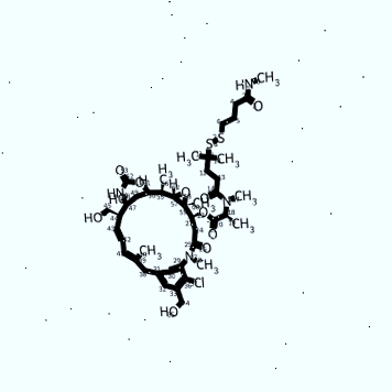 CNC(=O)CCCSSC(C)(C)CCC(=O)N(C)[C@@H](C)C(=O)O[C@H]1CC(=O)N(C)c2cc(cc(CO)c2Cl)C/C(C)=C/C=C/[C@@H](CO)[C@@]2(O)C[C@H](OC(=O)N2)[C@@H](C)[C@@H]2O[C@@]12C